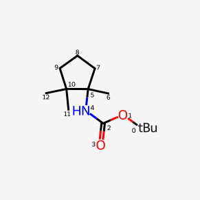 CC(C)(C)OC(=O)NC1(C)CCCC1(C)C